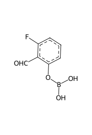 O=Cc1c(F)cccc1OB(O)O